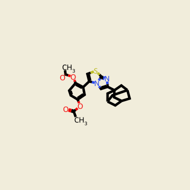 CC(=O)Oc1ccc(OC(C)=O)c(-c2csc3nc(C45CC6CC(CC(C6)C4)C5)cn23)c1